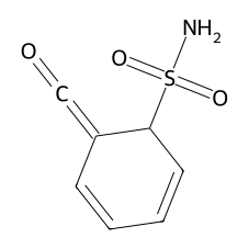 NS(=O)(=O)C1C=CC=CC1=C=O